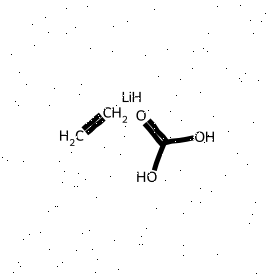 C=C.O=C(O)O.[LiH]